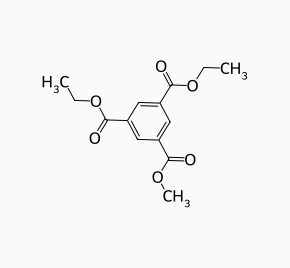 CCOC(=O)c1cc(C(=O)OC)cc(C(=O)OCC)c1